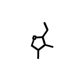 CCC1OCC(C)C1C